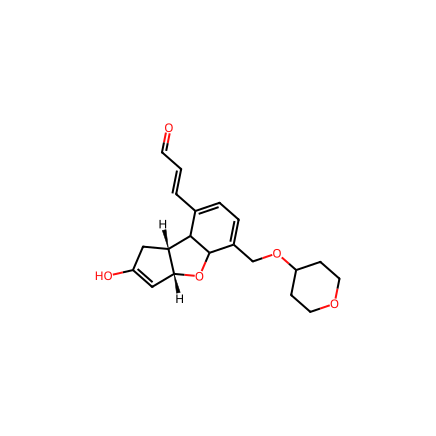 O=CC=CC1=CC=C(COC2CCOCC2)C2O[C@@H]3C=C(O)C[C@@H]3C12